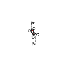 O=c1c2ccc(c(=O)n1CCCCCBr)c1c3ccc(c(=O)n(CCCCCBr)c3=O)c21